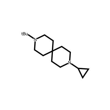 CC(C)(C)N1CCC2(CCN(C3CC3)CC2)CC1